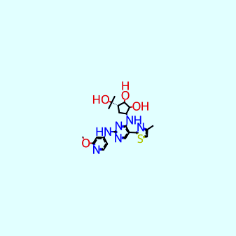 COc1cc(Nc2ncc(-c3nc(C)cs3)c(N[C@@H]3C[C@H](C(C)(C)O)[C@@H](O)[C@H]3O)n2)ccn1